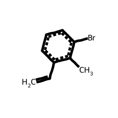 C=Cc1cccc(Br)c1C